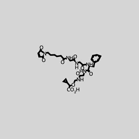 O=C(CCCCCN1C(=O)C=CC1=O)NCC(=O)NCC(=O)N[C@@H](Cc1ccccc1)C(=O)NCC(=O)NCOC(C(=O)O)C1CC1